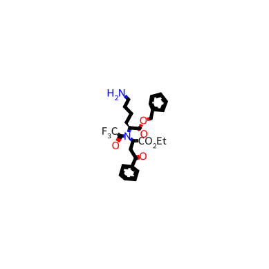 CCOC(=O)C(CC(=O)c1ccccc1)N(C(=O)C(F)(F)F)[C@@H](CCCCN)C(=O)OCc1ccccc1